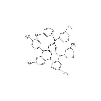 Cc1ccc(N2c3cc(C)ccc3B3c4ccc(C)cc4N(c4cccc(C)c4)c4cc(N(c5cccc(C)c5)c5cccc(C)c5)cc2c43)cc1